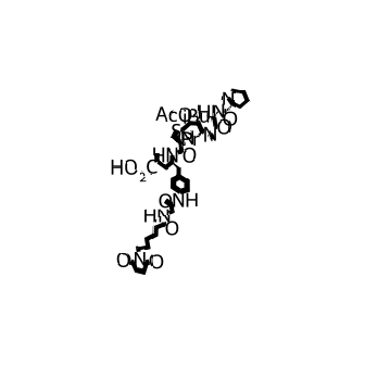 CC[C@H](C)[C@H](NC(=O)[C@H]1CCCCN1C)C(=O)N(C)[C@H](C[C@@H](OC(C)=O)c1nc(C(=O)N[C@@H](Cc2ccc(NC(=O)CNC(=O)CCCCCN3C(=O)C=CC3=O)cc2)CC(C)C(=O)O)cs1)C(C)C